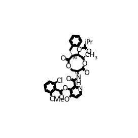 COc1ccnc(C(=O)N[C@H]2COC(=O)[C@H](Cc3ccccc3)[C@@H](OC(=O)C(C)C)[C@H](C)OC2=O)c1OC(=O)c1c(Cl)cccc1Cl